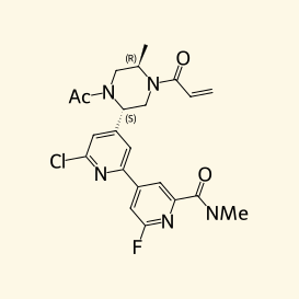 C=CC(=O)N1C[C@H](c2cc(Cl)nc(-c3cc(F)nc(C(=O)NC)c3)c2)N(C(C)=O)C[C@H]1C